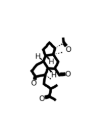 CC(=O)C(C)C[C@@]1(C)C(=O)CC[C@H]2[C@@H]3CC[C@H](C(C)=O)[C@@]3(C)CC(C=O)[C@@H]21